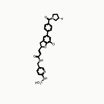 O=C(O)Nc1ccc(CNC(=O)/C=C/C2Cc3cc(-c4ccc(C(=O)N5CC[C@H](F)C5)cc4)cc(Cl)c3O2)cn1